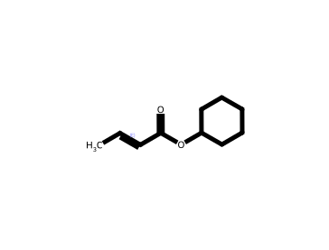 C/[C]=C/C(=O)OC1CCCCC1